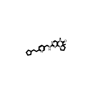 CN1C(=O)C2(C)CCCN2c2nc(NCc3ccc(CCC4CCCC4)nc3)ncc21